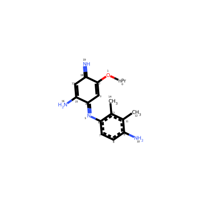 CCCOC1=C/C(=N\c2ccc(N)c(C)c2C)C(N)=CC1=N